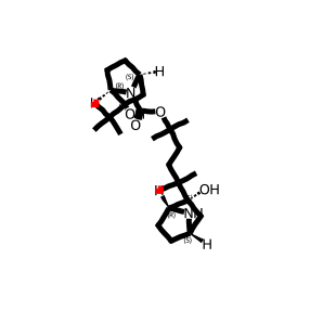 CC(C)(CCC(C)(C)[C@@]1(O)C[C@@H]2CC[C@H]1N2)OC(=O)N1[C@H]2CC[C@@H]1[C@@](O)(C(C)(C)C)C2